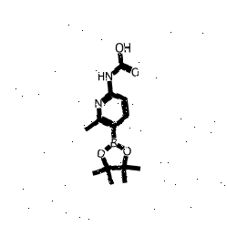 Cc1nc(NC(=O)O)ccc1B1OC(C)(C)C(C)(C)O1